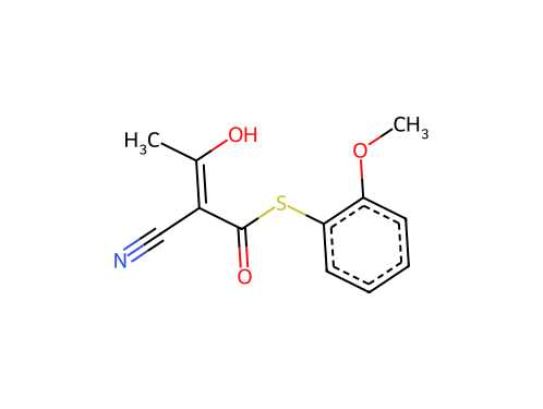 COc1ccccc1SC(=O)C(C#N)=C(C)O